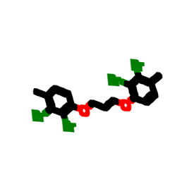 Cc1ccc(OCCCOc2ccc(C)c(Br)c2Br)c(Br)c1Br